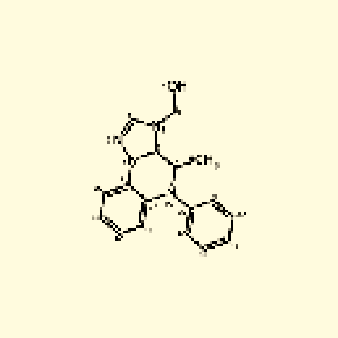 CC1C2N(CO)C=NN2c2ccccc2N1c1ccccc1